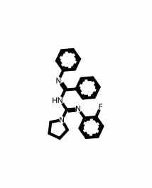 Fc1ccccc1/N=C(/N/C(=N/c1ccccc1)c1ccccc1)N1CCCC1